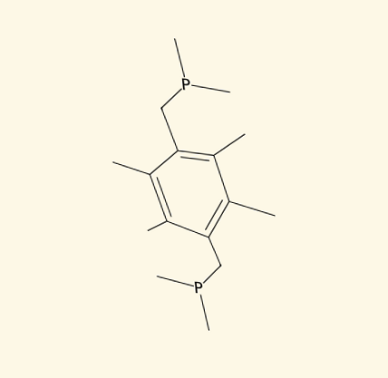 Cc1c(C)c(CP(C)C)c(C)c(C)c1CP(C)C